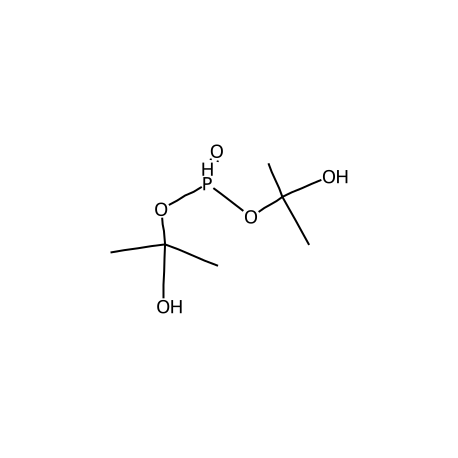 CC(C)(O)O[PH](=O)OC(C)(C)O